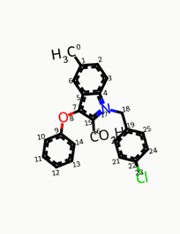 Cc1ccc2c(c1)c(Oc1ccccc1)c(C(=O)O)n2Cc1ccc(Cl)cc1